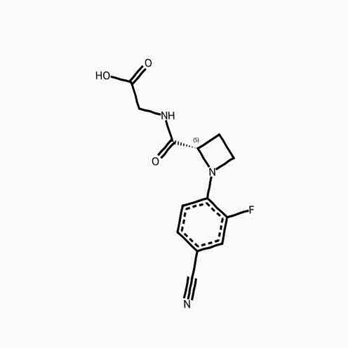 N#Cc1ccc(N2CC[C@H]2C(=O)NCC(=O)O)c(F)c1